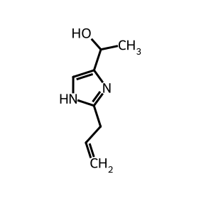 C=CCc1nc(C(C)O)c[nH]1